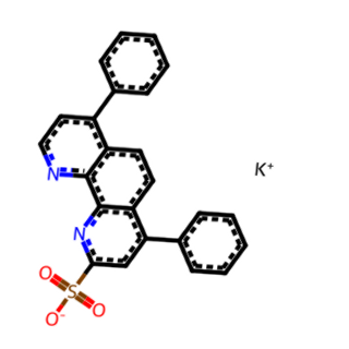 O=S(=O)([O-])c1cc(-c2ccccc2)c2ccc3c(-c4ccccc4)ccnc3c2n1.[K+]